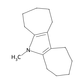 Cn1c2c(c3c1CCCCC3)CCCCC2